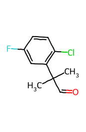 CC(C)(C=O)c1cc(F)ccc1Cl